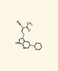 CC(=O)C(C#N)=CCc1c[nH]c2ncc(-c3ccccc3)cc12